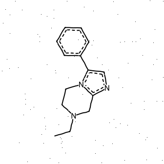 CCN1CCn2c(-c3ccccc3)cnc2C1